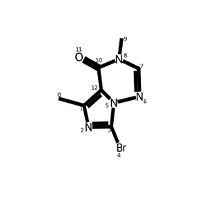 Cc1nc(Br)n2ncn(C)c(=O)c12